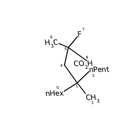 CCCCCCC(C)(CCCCC)CC(C)(F)C(=O)O